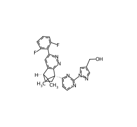 CC1(C)[C@H]2CC[C@]1(c1ccnc(-n3cc(CO)cn3)n1)c1nnc(-c3c(F)cccc3F)cc12